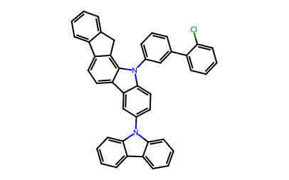 Clc1ccccc1-c1cccc(-n2c3ccc(-n4c5ccccc5c5ccccc54)cc3c3ccc4c(c32)Cc2ccccc2-4)c1